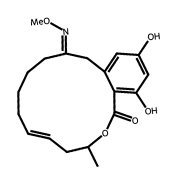 CO/N=C1\CCCC/C=C/CC(C)OC(=O)c2c(O)cc(O)cc2C1